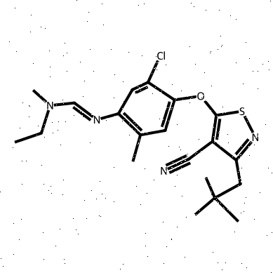 CCN(C)C=Nc1cc(Cl)c(Oc2snc(CC(C)(C)C)c2C#N)cc1C